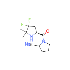 CC1(C)N[C@H](C(=O)N2CCCC2C#N)CC1(F)F